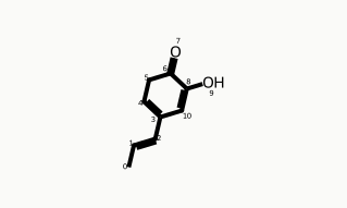 CC=CC1=CCC(=O)C(O)=C1